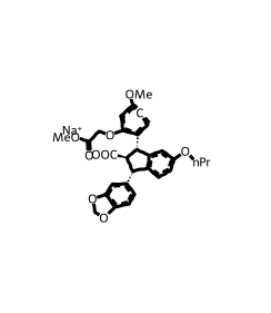 CCCOc1ccc2c(c1)[C@@H](c1ccc(OC)cc1OCC(=O)OC)[C@H](C(=O)[O-])[C@H]2c1ccc2c(c1)OCO2.[Na+]